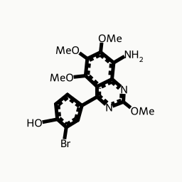 COc1nc(-c2ccc(O)c(Br)c2)c2c(OC)c(OC)c(OC)c(N)c2n1